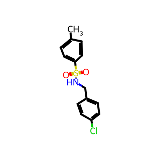 Cc1ccc(S(=O)(=O)NCc2ccc(Cl)cc2)cc1